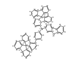 C1=CC2C(C(N(c3ccc(-c4cccc5c4-c4ccccc4C54c5ccccc5-c5ccccc54)cc3)c3ccc4c(c3)oc3ccccc34)=C1)c1ccccc1C21c2ccccc2-c2ccccc21